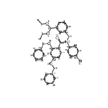 CCOC(OCC)c1cccc(CN(C(=O)c2ccc(OCc3ccccc3)cc2OCc2ccccc2)c2ccc(Br)cc2)c1